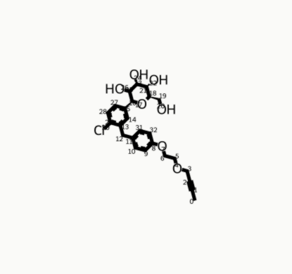 CC#CCOCCOc1ccc(Cc2cc([C@@H]3O[C@H](CO)[C@@H](O)[C@H](O)C3O)ccc2Cl)cc1